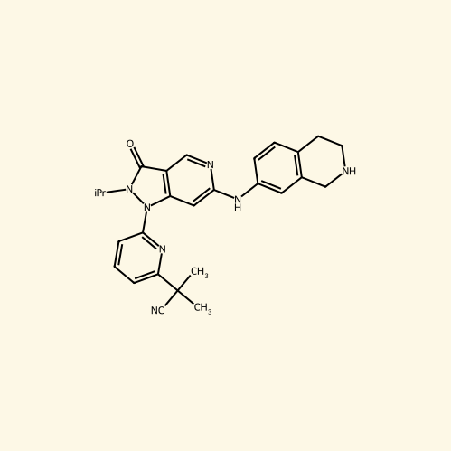 CC(C)n1c(=O)c2cnc(Nc3ccc4c(c3)CNCC4)cc2n1-c1cccc(C(C)(C)C#N)n1